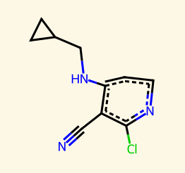 N#Cc1c(NCC2CC2)ccnc1Cl